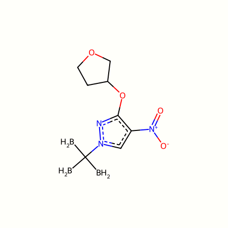 BC(B)(B)n1cc([N+](=O)[O-])c(OC2CCOC2)n1